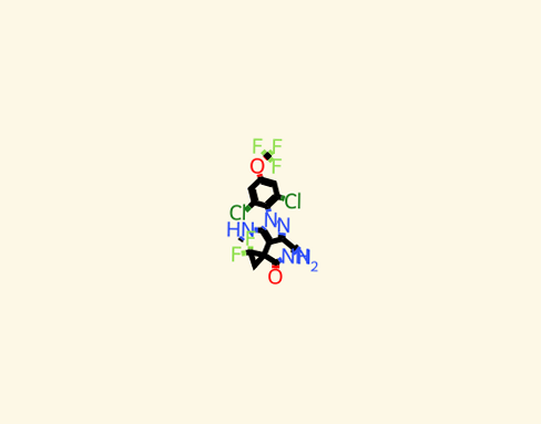 CNc1c(C2(C(N)=O)CC2(F)F)c(C#N)nn1-c1c(Cl)cc(OC(F)(F)F)cc1Cl